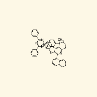 CC1(c2ccc(-c3nc(-c4ccccc4)nc(-c4ccccc4)n3)cc2)CC=Cc2nc(-c3cccc4ccccc34)c3c(c21)[C@@]1(C)CC=CC=C1S3